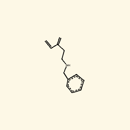 C=CC(=C)CCNCc1ccccc1